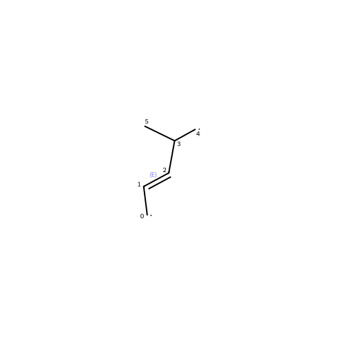 [CH2]/C=C/C([CH2])C